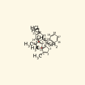 CC1=CC[C]([Ti](=[SiH2])([C]2=C(C)C(C)=CC2)([c]2ccccc2)[c]2ccccc2)=C1C.Cl.Cl